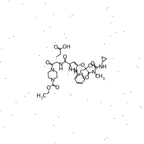 CCOC(=O)N1CCN(C(=O)[C@H](CCC(=O)O)NC(=O)c2cc(OC(C)(C)C(=O)N(C)C(=O)NC3CC3)n(-c3ccccc3)n2)CC1